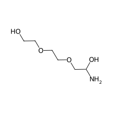 NC(O)COCCOCCO